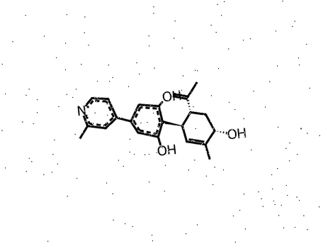 C=C(C)[C@@H]1C[C@H](O)C(C)=C[C@H]1c1c(O)cc(-c2ccnc(C)c2)cc1O